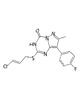 Cc1nn2c(=O)[nH]c(SC/C=C/Cl)nc2c1-c1ccc(F)cc1